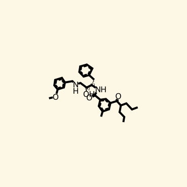 CCCC(CCC)C(=O)c1cc(C)cc(C(=O)N[C@@H](Cc2ccccc2)[C@H](O)CNCc2cccc(OC)c2)c1